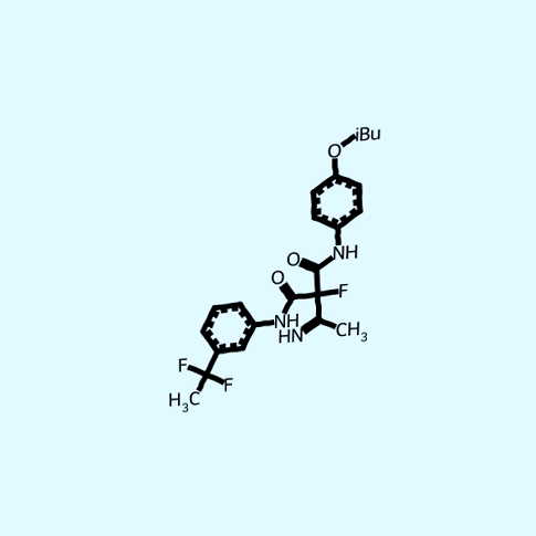 CCC(C)Oc1ccc(NC(=O)C(F)(C(C)=N)C(=O)Nc2cccc(C(C)(F)F)c2)cc1